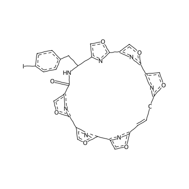 O=C1NC(Cc2ccc(I)cc2)c2coc(n2)-c2coc(n2)-c2coc(n2)C/C=C/c2nc(co2)-c2nc(co2)-c2nc1co2